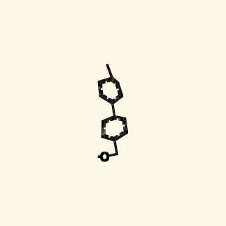 Cc1ccc(-c2ccc(C[O])cc2)cc1